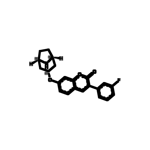 O=c1oc2cc(O[C@@H]3C[C@H]4CC[C@@H](C3)N4)ccc2cc1-c1cccc(F)c1